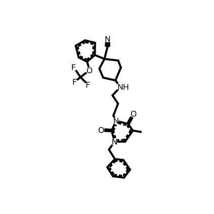 Cc1cn(Cc2ccccc2)c(=O)n(CCCNC2CCC(C#N)(c3ccccc3OC(F)(F)F)CC2)c1=O